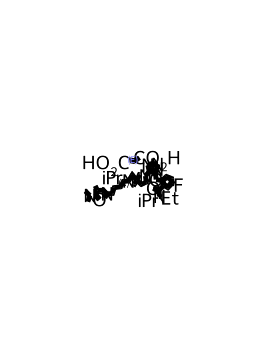 CCN(C(=O)c1cc(F)ccc1Oc1nncnc1N1CCC2(C1)CN([C@H](CCCN(C)CC(C)C(=O)N(C)C)C(C)C)C2)C(C)C.O=C(O)/C=C/C(=O)O